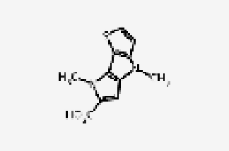 Cn1c(C(=O)O)cc2c1c1sccc1n2C